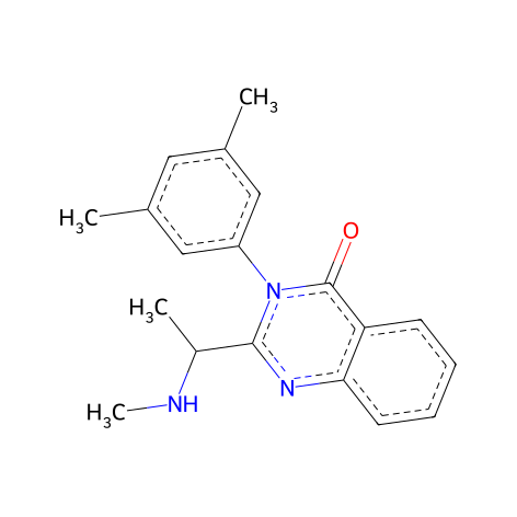 CNC(C)c1nc2ccccc2c(=O)n1-c1cc(C)cc(C)c1